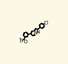 CN(C)C(=O)c1cccc(-c2ccn3nc(-c4ccc(Cl)cc4)cc3c2)c1